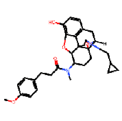 COc1ccc(CCC(=O)N(C)C2CC[C@@]3(O)[C@H]4Cc5ccc(O)c6c5[C@@]3(CCN4CC3CC3)C2O6)cc1